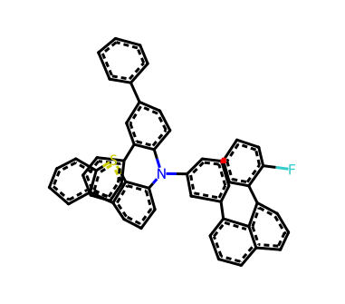 Fc1ccccc1-c1cccc2cccc(-c3cccc(N(c4ccc(-c5ccccc5)cc4-c4ccccc4)c4cccc5c4sc4ccccc45)c3)c12